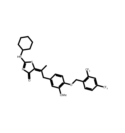 COc1cc(C/C(C)=C2/SC(NC3CCCCC3)=NC2=O)ccc1OCc1ccc(C(F)(F)F)cc1C(F)(F)F